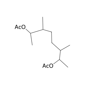 CC(=O)OC(C)C(C)CCC(C)C(C)OC(C)=O